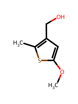 COc1cc(CO)c(C)s1